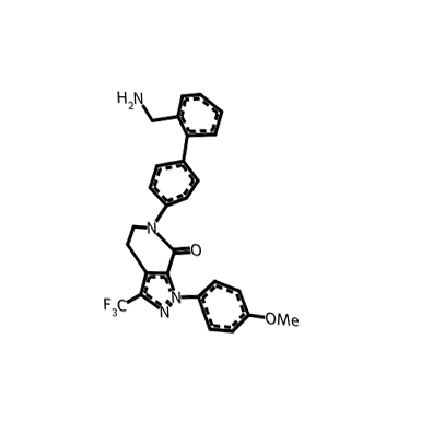 COc1ccc(-n2nc(C(F)(F)F)c3c2C(=O)N(c2ccc(-c4ccccc4CN)cc2)CC3)cc1